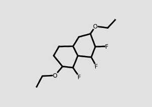 CCOC1CC2CCC(OCC)C(F)C2C(F)C1F